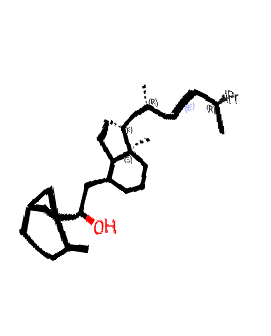 C=C1CCC2CC12C(O)CC1CCC[C@@]2(C)C1CC[C@@H]2[C@H](C)/C=C/[C@H](C)C(C)C